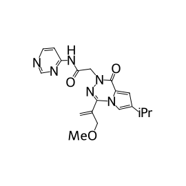 C=C(COC)c1nn(CC(=O)Nc2ccncn2)c(=O)c2cc(C(C)C)cn12